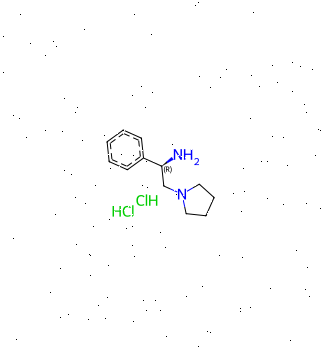 Cl.Cl.N[C@@H](CN1CCCC1)c1ccccc1